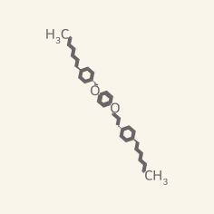 CCCCCCC[C@H]1CC[C@H](CCCOc2ccc(OC[C@H]3CC[C@H](CCCCCCC)CC3)cc2)CC1